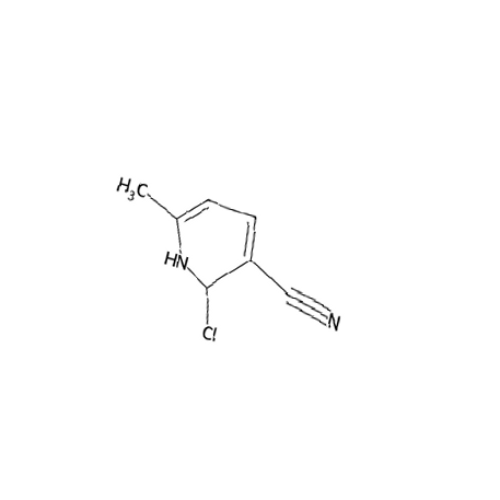 CC1=CC=C(C#N)C(Cl)N1